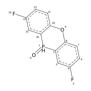 O=[PH]1c2cc(F)ccc2Oc2ccc(F)cc21